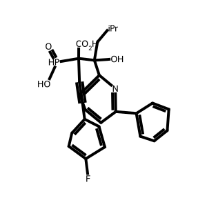 CC(C)CC(O)(c1cccc(-c2ccccc2)n1)C(C#Cc1ccc(F)cc1)(C(=O)O)[PH](=O)O